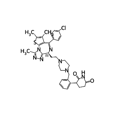 Cc1sc2c(c1C)C(c1ccc(Cl)cc1)=N[C@@H](CCN1CCN(Cc3ccccc3C3CCC(=O)NC3=O)CC1)c1nnc(C)n1-2